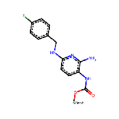 CCCCCOC(=O)Nc1ccc(NCc2ccc(F)cc2)nc1N